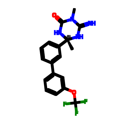 CN1C(=N)N[C@](C)(c2cccc(-c3cccc(OC(F)(F)F)c3)c2)NC1=O